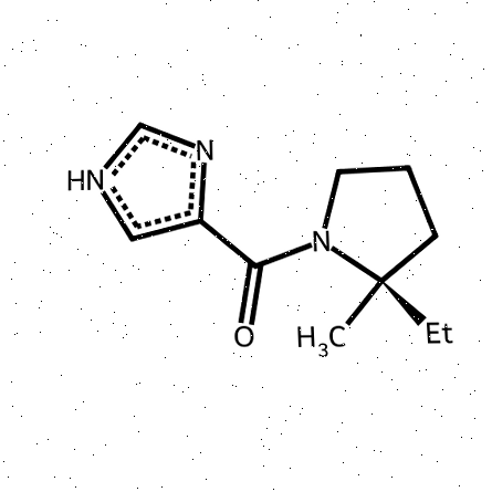 CC[C@]1(C)CCCN1C(=O)c1c[nH]cn1